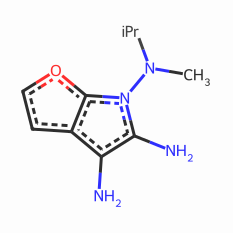 CC(C)N(C)n1c(N)c(N)c2ccoc21